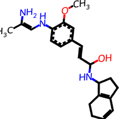 COc1cc(/C=C/C(O)NC2CCC3=C2CCC=C3)ccc1N/C=C(/C)N